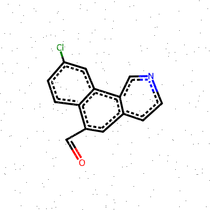 O=Cc1cc2ccncc2c2cc(Cl)ccc12